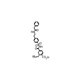 CC(C)(C)CN1CC(C(=O)NS(=O)(=O)c2ccc(CCNC(=O)Cc3ccccc3)cc2)=CC=C1C(=O)O